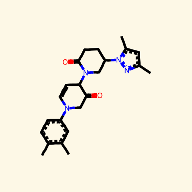 Cc1cc(C)n(C2CCC(=O)N(C3C=CN(c4ccc(C)c(C)c4)CC3=O)C2)n1